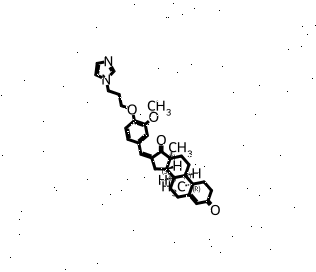 COc1cc(C=C2C[C@H]3[C@@H]4CCC5=CC(=O)CC[C@]5(C)[C@@H]4CC[C@]3(C)C2=O)ccc1OCCCn1ccnc1